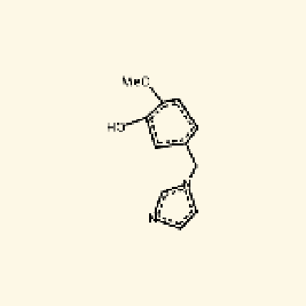 COc1ccc(Cn2ccnc2)cc1O